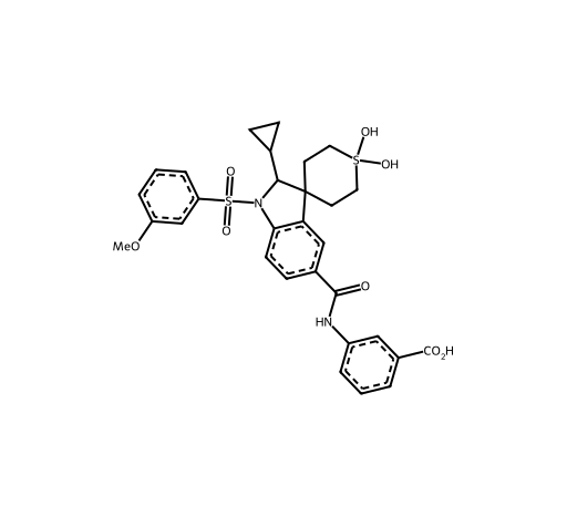 COc1cccc(S(=O)(=O)N2c3ccc(C(=O)Nc4cccc(C(=O)O)c4)cc3C3(CCS(O)(O)CC3)C2C2CC2)c1